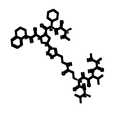 CN[C@@H](C)C(=O)NC(C(=O)N[C@@H](CCC(=O)NCCc1cn([C@H]2C[C@@H](C(=O)N[C@@H]3CCCc4ccccc43)N(C(=O)[C@@H](NC(=O)[C@H](C)NC)C3CCCCC3)C2)nn1)C(=O)N[C@H](C)C(C)C)C(C)C